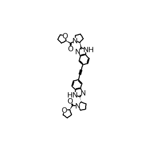 O=C([C@H]1CCCO1)N1CCC[C@H]1c1nc2cc(C#Cc3ccc4[nH]c([C@@H]5CCCN5C(=O)[C@H]5CCCO5)nc4c3)ccc2[nH]1